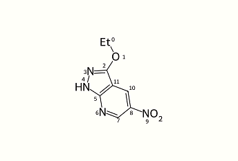 CCOc1n[nH]c2ncc([N+](=O)[O-])cc12